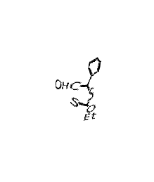 CCOC(=S)SC(C=O)c1ccccc1